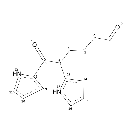 O=CCCCC(C(=O)c1ccc[nH]1)c1ccc[nH]1